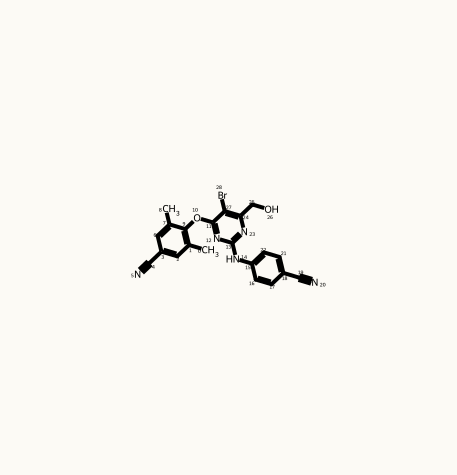 Cc1cc(C#N)cc(C)c1Oc1nc(Nc2ccc(C#N)cc2)nc(CO)c1Br